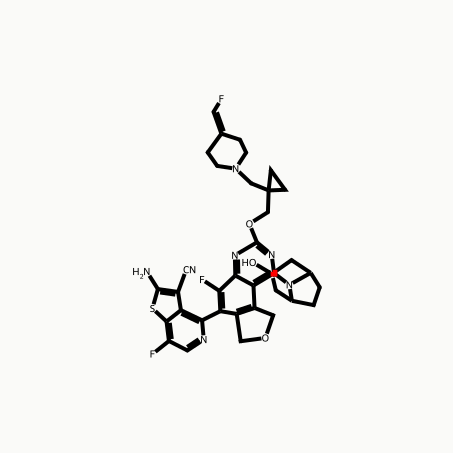 N#Cc1c(N)sc2c(F)cnc(-c3c4c(c5c(N6C7CCC6CN(O)C7)nc(OCC6(CN7CCC(=CF)CC7)CC6)nc5c3F)COC4)c12